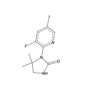 CC1(C)CNC(=O)N1c1ncc(I)cc1F